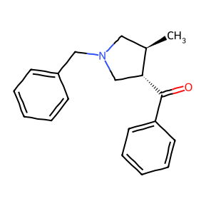 C[C@@H]1CN(Cc2ccccc2)C[C@H]1C(=O)c1ccccc1